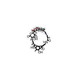 C/C1=C/C=C/[C@H](C)[C@H](O)[C@@H](C)[C@@H](O)[C@@H](C)[C@@H]2OC(=O)[C@@H](/C=C(\C)C(=O)c3c(O)c(C)c(O)c4c3C(=O)C=C(NC1=O)C4=O)[C@H](O)[C@H]2C